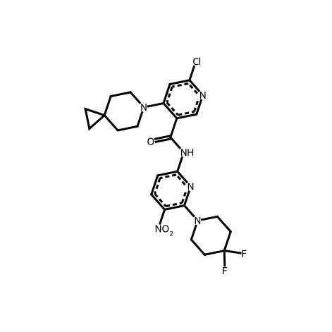 O=C(Nc1ccc([N+](=O)[O-])c(N2CCC(F)(F)CC2)n1)c1cnc(Cl)cc1N1CCC2(CC1)CC2